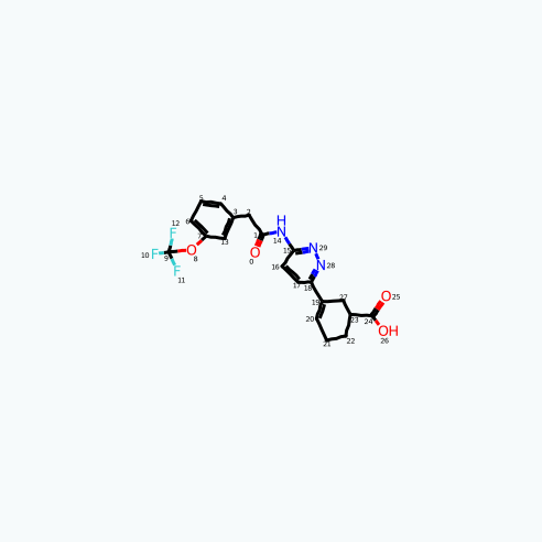 O=C(Cc1cccc(OC(F)(F)F)c1)Nc1ccc(C2=CCCC(C(=O)O)C2)nn1